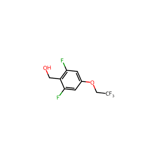 OCc1c(F)cc(OCC(F)(F)F)cc1F